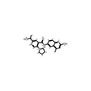 Cc1cc(O)nc2ccc(NC(=O)c3cc(C(C)O)ncc3N3CCCC3)cc12